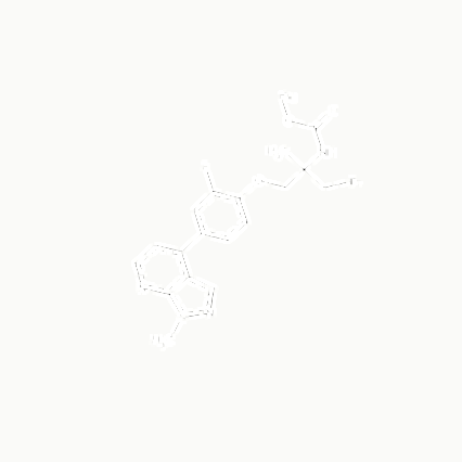 CC(C)CC(C)(COc1ccc(-c2ccnc3c2cnn3C)cc1F)NC(=O)OC(C)(C)C